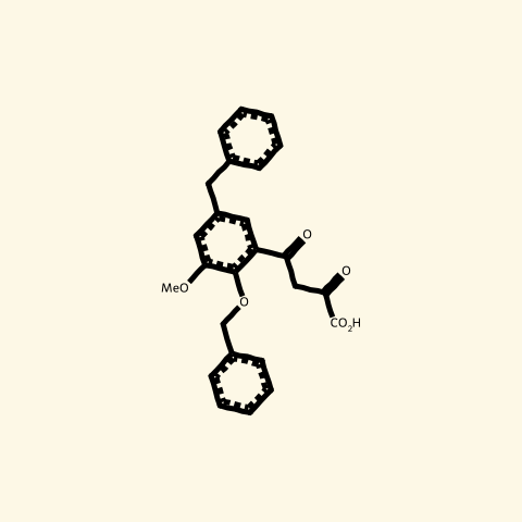 COc1cc(Cc2ccccc2)cc(C(=O)CC(=O)C(=O)O)c1OCc1ccccc1